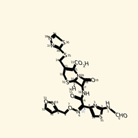 O=CNc1nc(/C(=N/OCc2ccon2)C(=O)NC2C(=O)N3C(C(=O)O)=C(CSc4nncs4)CS[C@H]23)cs1